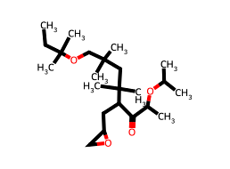 CCC(C)(C)OCC(C)(C)CC(C)(C)C(CC1CO1)C(=O)C(C)OC(C)C